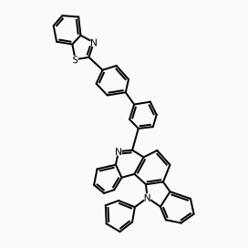 c1ccc(-n2c3ccccc3c3ccc4c(-c5cccc(-c6ccc(-c7nc8ccccc8s7)cc6)c5)nc5ccccc5c4c32)cc1